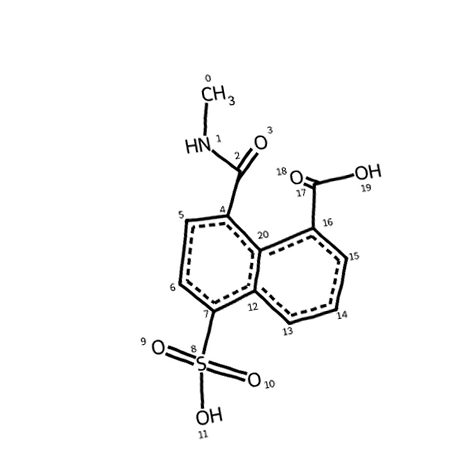 CNC(=O)c1ccc(S(=O)(=O)O)c2cccc(C(=O)O)c12